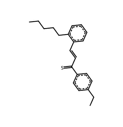 CCCCCc1ccccc1C=CC(=S)c1ccc(CC)cc1